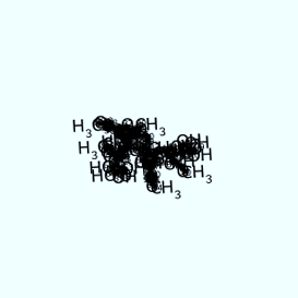 COCCNC(=O)c1cc(COC(=O)N2c3cc(OCCCOc4cc5c(cc4OC)C(=O)N4C=C(c6ccc(OC)cc6)C[C@H]4C(O)N5C(=O)OCc4ccc(O[C@@H]5O[C@H](C(=O)O)[C@@H](O)[C@H](O)[C@H]5O)c(C(=O)NC(C)(C)C)c4)c(OC)cc3C(=O)N3C=C(c4ccc(OC)cc4)C[C@H]3C2O)ccc1O[C@@H]1O[C@H](C(=O)O)[C@@H](O)[C@H](O)[C@H]1O